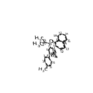 Cc1ccc(-n2cc(C(Oc3cccc4ccccc34)C(C)C)nn2)cc1